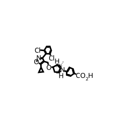 C[C@H]1[C@H]2C[C@H](CC2OCc2c(-c3c(Cl)cccc3Cl)noc2C2CC2)N1c1ccc(C(=O)O)cc1